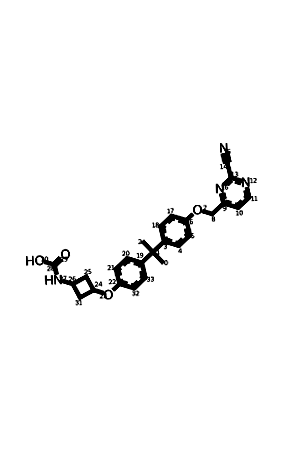 CC(C)(c1ccc(OCc2ccnc(C#N)n2)cc1)c1ccc(OC2CC(NC(=O)O)C2)cc1